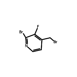 Fc1c(CBr)ccnc1Br